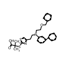 CC(C)(Sc1nc(CCN(CCOCc2ccccc2)c2cccc(-c3ccccc3)c2)cs1)C(=O)O